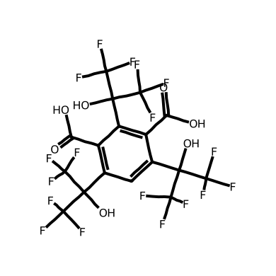 O=C(O)c1c(C(O)(C(F)(F)F)C(F)(F)F)cc(C(O)(C(F)(F)F)C(F)(F)F)c(C(=O)O)c1C(O)(C(F)(F)F)C(F)(F)F